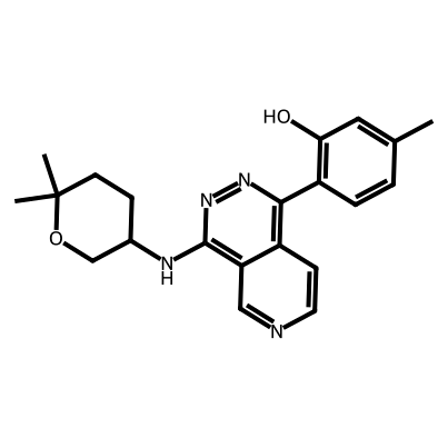 Cc1ccc(-c2nnc(NC3CCC(C)(C)OC3)c3cnccc23)c(O)c1